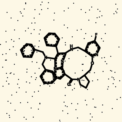 O=C1c2cnn3c(N(Cc4ccccc4)Cc4ccccc4)c(-c4ccccc4)c(nc23)NCc2cc(F)cnc2OCC2CCCN12